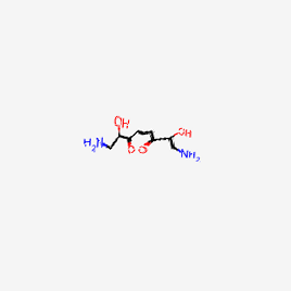 NCC(O)C(=O)/C=C\C(=O)C(O)CN